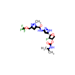 CC(C)NC(=O)O[C@H]1CO[C@@H](c2cc(NC(=O)c3cc(COC(F)(F)F)nn3C)n[nH]2)[C@H]1F